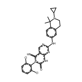 CC1(C)c2ccc(Nc3ncc4c(=N)n(-c5c(Cl)cccc5Cl)c(=O)[nH]c4n3)cc2CCN1C1CC1